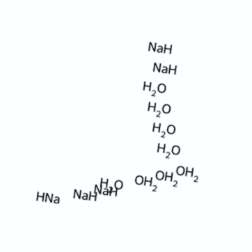 O.O.O.O.O.O.O.O.[NaH].[NaH].[NaH].[NaH].[NaH]